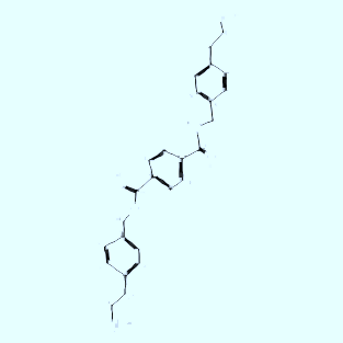 CCCCCCCCCCCCc1ccc(COC(=O)c2ccc(C(=O)OCc3ccc(CCCCCCCCCCCC)cc3)cc2)cc1